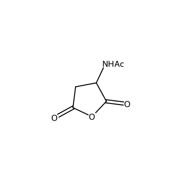 CC(=O)NC1CC(=O)OC1=O